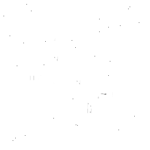 COc1nc(Br)ccc1N1CCN[C@H](C)C1